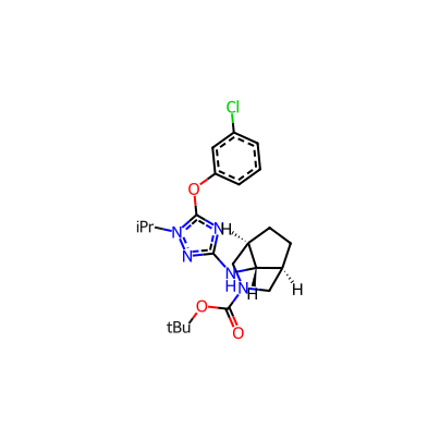 CC(C)n1nc(N[C@@H]2[C@@H]3CC[C@H]2CN(C(=O)OC(C)(C)C)C3)nc1Oc1cccc(Cl)c1